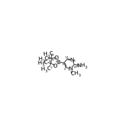 CN1C=C(B2OC(C)(C)C(C)(C)O2)C=NC1N